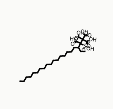 CCCCCCCCCCCCCCCCCC(CC)C(C(=O)O)(C(C(=O)O)(C(=O)O)C(=O)O)S(=O)(=O)O